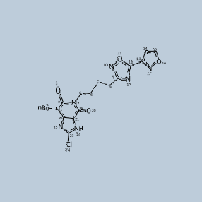 CCCCn1c(=O)n(CCCCc2noc(-c3ccon3)n2)c(=O)c2[nH]c(Cl)nc21